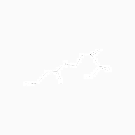 C=C(CCOC(=O)CCBr)C(=O)O